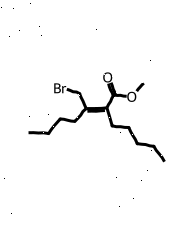 CCCCC/C(C(=O)OC)=C(/CBr)CCCC